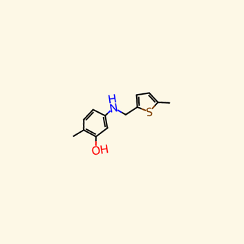 Cc1ccc(CNc2ccc(C)c(O)c2)s1